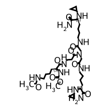 COC(=O)N[C@@H](CCCCNC(C)=O)C(=O)NCCC(=O)N(CC(=O)NCCCC[C@H](NC1CC1)C(N)=O)CC(=O)NCCCC[C@H](NC1CC1)C(N)=O